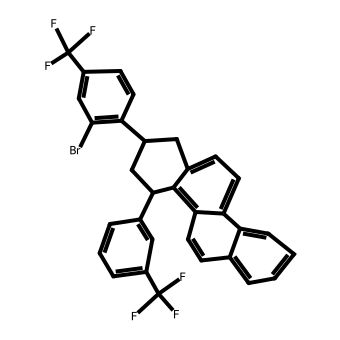 FC(F)(F)c1cccc(C2CC(c3ccc(C(F)(F)F)cc3Br)Cc3ccc4c(ccc5ccccc54)c32)c1